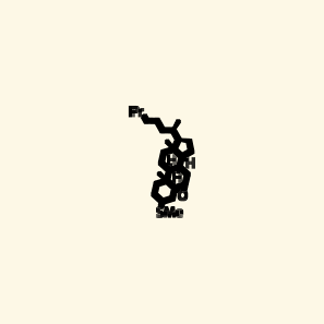 CSC1CC[C@]2(C)[C@H]3CC[C@]4(C)[C@@H]([C@H](C)CCCC(C)C)CC[C@H]4[C@@H]3CC3OC32C1